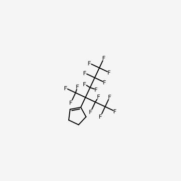 FC(F)(F)C(F)(F)C(F)(F)C(C1=CCCC1)(C(F)(F)F)C(F)(F)C(F)(F)F